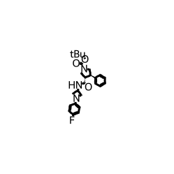 CC(C)(C)OC(=O)N1C[C@@H](C(=O)NC2CN(c3ccc(F)cc3)C2)[C@H](c2ccccc2)C1